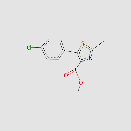 COC(=O)c1nc(C)sc1-c1ccc(Cl)cc1